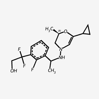 CC(NN1C=C(C2CC2)O[C@H](C)C1)c1cccc(C(F)(F)CO)c1F